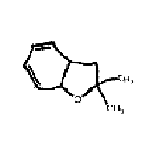 CC1(C)CC2C=CC=[C]C2O1